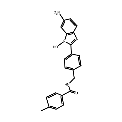 Cc1ccc(C(=O)NCc2ccc(-c3nc4ccc([N+](=O)[O-])cc4n3O)cc2)cc1